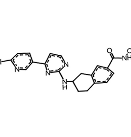 O=C(NO)c1ccc2c(c1)CC(Nc1nccc(-c3ccc(Cl)nc3)n1)CC2